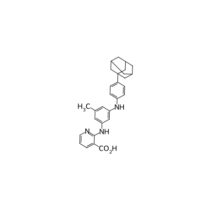 Cc1cc(Nc2ccc(C34CC5CC(CC(C5)C3)C4)cc2)cc(Nc2ncccc2C(=O)O)c1